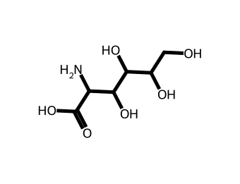 NC(C(=O)O)C(O)C(O)C(O)CO